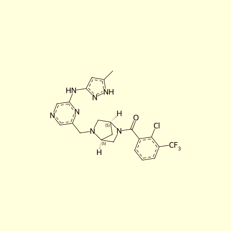 Cc1cc(Nc2cncc(CN3C[C@@H]4C[C@H]3CN4C(=O)c3cccc(C(F)(F)F)c3Cl)n2)n[nH]1